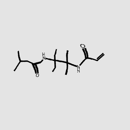 C=CC(=O)NC(C)(C)C(C)(C)NC(=O)C(C)C